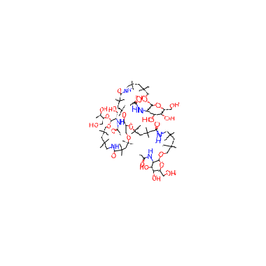 CC(=O)NC1C(OCC(C)(C)CC(C)(C)CNC(=O)C(C)(C)CC(C)(C)OCC(COC(C)(C)CC(C)(C)C(=O)NCC(C)(C)CC(C)(C)COC(OC(CO)[C@@H](C)O)[C@H](CO)NC(C)=O)OC(C)(C)CC(C)(C)C(=O)NCC(C)(C)CC(C)(C)COC2OC(CO)C(O)C(O)C2NC(C)=O)OC(CO)C(O)C1O